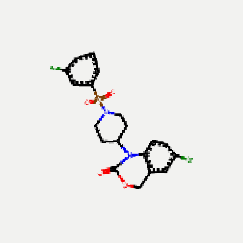 O=C1OCc2cc(Br)ccc2N1C1CCN(S(=O)(=O)c2cccc(Br)c2)CC1